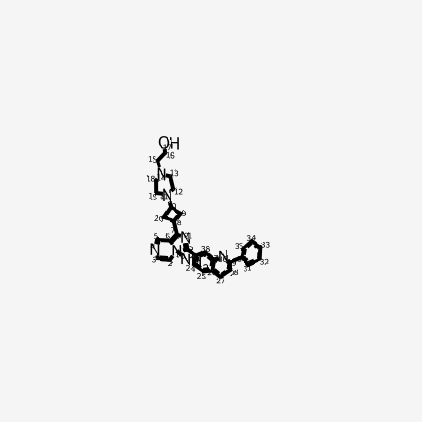 N[N+]12C=CN=CC1=C(C1CC(N3CCN(CCO)CC3)C1)N=C2c1ccc2ccc(-c3ccccc3)nc2c1